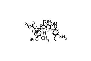 CC(C)OC(=O)[C@H](C)NP(=S)(N[C@@H](C)C(=O)OC(C)C)OC[C@@]1(C(F)F)O[C@@H](n2cc(Cl)c(N)nc2=O)[C@H](O)[C@@H]1O